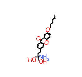 CCCCCCOc1ccc2oc3cc(CCC(N)(CO)CO)ccc3c(=O)c2c1